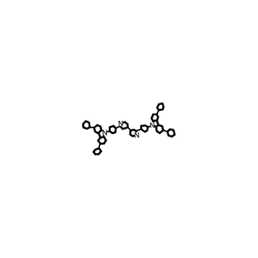 c1ccc(-c2ccc3c(c2)c2cc(-c4ccccc4)ccc2n3-c2ccc(-c3cc(-c4ccnc(-c5ccc(-n6c7ccc(-c8ccccc8)cc7c7cc(-c8ccccc8)ccc76)cc5)c4)ccn3)cc2)cc1